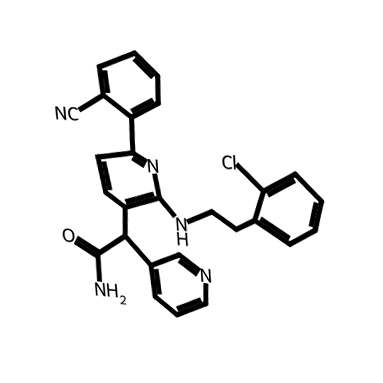 N#Cc1ccccc1-c1ccc(C(C(N)=O)c2cccnc2)c(NCCc2ccccc2Cl)n1